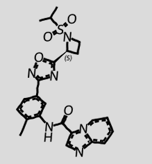 Cc1ccc(-c2noc([C@@H]3CCN3S(=O)(=O)C(C)C)n2)cc1NC(=O)c1cnc2ccccn12